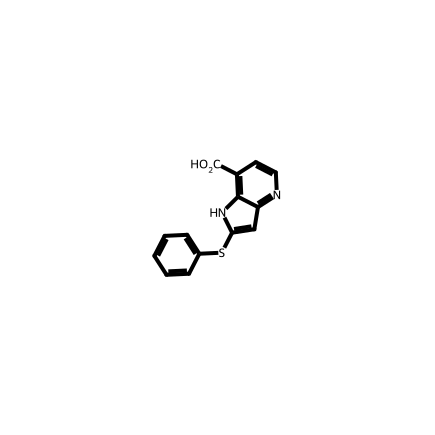 O=C(O)c1ccnc2cc(Sc3ccccc3)[nH]c12